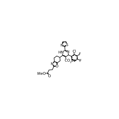 CCOC(=O)C1=C(C2CCc3nc(CCC(=O)OC)oc3C2)NC(c2nccs2)=NC1c1ccc(F)c(F)c1Cl